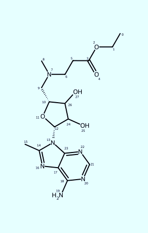 CCOC(=O)CCN(C)C[C@H]1O[C@@H](n2c(C)nc3c(N)ncnc32)C(O)C1O